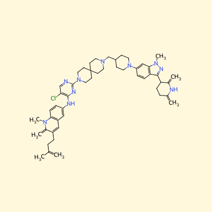 C=C(C)CCC1=Cc2cc(Nc3nc(N4CCC5(CCN(CC6CCN(c7ccc8c(C9CCC(=C)NC9=C)nn(C)c8c7)CC6)CC5)CC4)ncc3Cl)ccc2N(C)C1=C